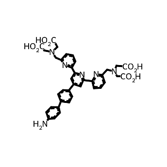 Nc1ccc(-c2ccc(-c3cc(-c4cccc(CN(CC(=O)O)CC(=O)O)n4)nc(-c4cccc(CN(CC(=O)O)CC(=O)O)n4)c3)cc2)cc1